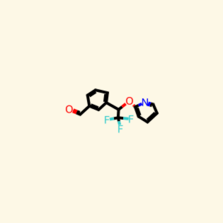 O=Cc1cccc(C(Oc2ccccn2)C(F)(F)F)c1